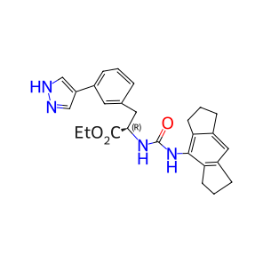 CCOC(=O)[C@@H](Cc1cccc(-c2cn[nH]c2)c1)NC(=O)Nc1c2c(cc3c1CCC3)CCC2